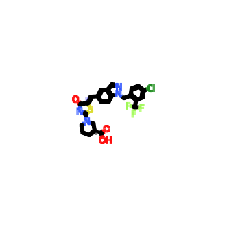 O=C1N=C(N2CCC[C@H](C(=O)O)C2)S/C1=C\c1ccc2c(cnn2Cc2ccc(Cl)cc2C(F)(F)F)c1